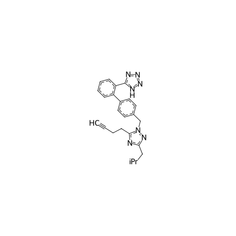 C#CCCc1nc(CC(C)C)nn1Cc1ccc(-c2ccccc2-c2nnn[nH]2)cc1